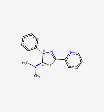 CN(C)[C@@H]1SC(c2ccccn2)=N[C@H]1c1ccccc1